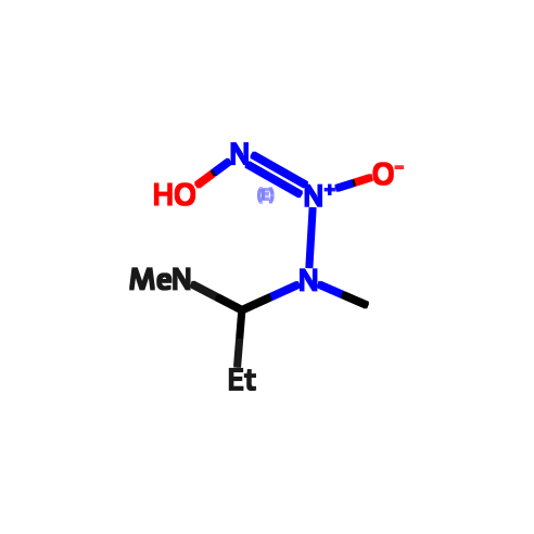 CCC(NC)N(C)/[N+]([O-])=N\O